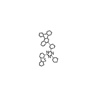 c1ccc(-c2nc(-c3cccc(-c4cc5c6ccccc6c6ccccc6c5c5ccccc45)c3)nc(-c3cccc4c3sc3ccccc34)n2)cc1